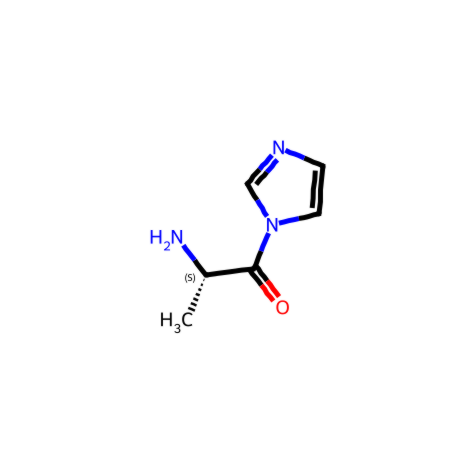 C[C@H](N)C(=O)n1ccnc1